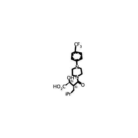 CC(C)C[C@H](C(=O)N1CCN(c2ccc(C(F)(F)F)cc2)CC1)[C@H](O)C(=O)O